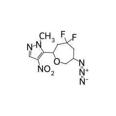 Cn1ncc([N+](=O)[O-])c1C1CC(F)(F)CC(N=[N+]=[N-])CO1